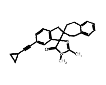 CC1=NC2(C(=O)N1C)c1cc(C#CC3CC3)ccc1CC21CCc2ccccc2CC1